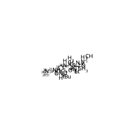 C#CCNC(=O)C(N)/C(C)=c1\s/c(=C(\C)CNc2ccc(C(=O)NCCN3CCCC3)c(NC(=O)C(C)(C)C)c2)c(=O)n1CC